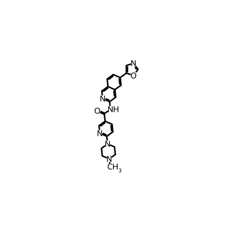 CN1CCN(c2ccc(C(=O)Nc3cc4cc(-c5cnco5)ccc4cn3)cn2)CC1